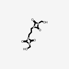 O=C1N(CO)C(=O)N1CCCN1C(=O)N(CO)C1=O